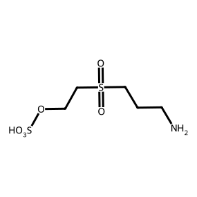 NCCCS(=O)(=O)CCOS(=O)(=O)O